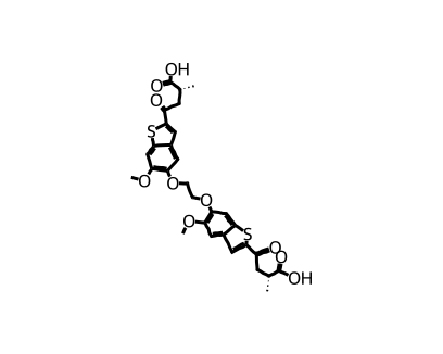 COc1cc2sc(C(=O)C[C@@H](C)C(=O)O)cc2cc1OCCOc1cc2sc(C(=O)C[C@@H](C)C(=O)O)cc2cc1OC